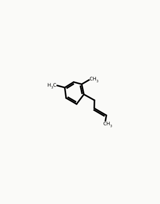 CC=CCc1ccc(C)cc1C